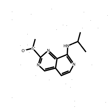 CC(C)Nc1nccc2cnc([S+](C)[O-])nc12